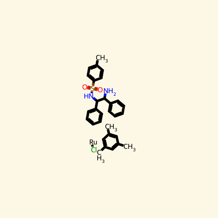 Cc1cc(C)cc(C)c1.Cc1ccc(S(=O)(=O)NC(c2ccccc2)C(N)c2ccccc2)cc1.[Cl][Ru]